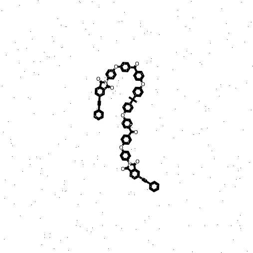 CC(C)(c1ccc(Oc2ccc(C(=O)c3ccc(Oc4ccc(N5C(=O)c6ccc(C#Cc7ccccc7)cc6C5=O)cc4)cc3)cc2)cc1)c1ccc(Oc2ccc(C(=O)c3ccc(Oc4ccc(N5C(=O)c6ccc(C#Cc7ccccc7)cc6C5=O)cc4)cc3)cc2)cc1